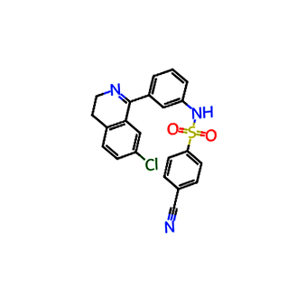 N#Cc1ccc(S(=O)(=O)Nc2cccc(C3=NCCc4ccc(Cl)cc43)c2)cc1